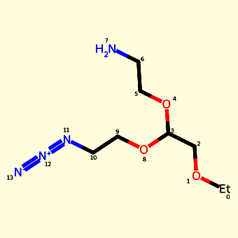 CCOCC(OCCN)OCCN=[N+]=[N-]